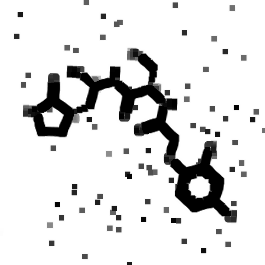 CC(C)C[C@H](NC(=O)COc1ccc(Cl)cc1Cl)C(=O)N[C@H](C#N)C[C@@H]1CCNC1=O